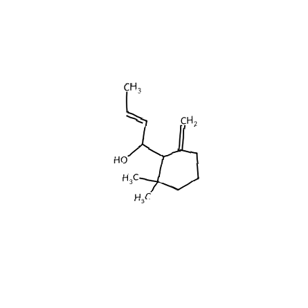 C=C1CCCC(C)(C)C1C(O)/C=C/C